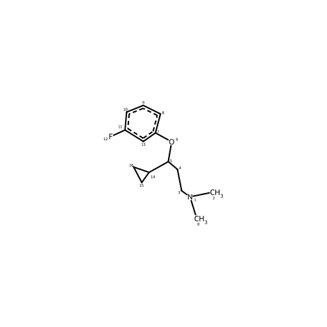 CN(C)CCC(Oc1cccc(F)c1)C1CC1